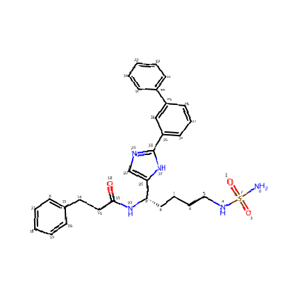 NS(=O)(=O)NCCCC[C@H](NC(=O)CCc1ccccc1)c1cnc(-c2cccc(-c3ccccc3)c2)[nH]1